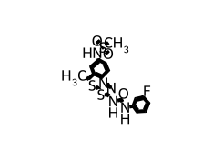 CC(Sc1nnc(NC(=O)Nc2cccc(F)c2)s1)c1cccc(NS(C)(=O)=O)c1